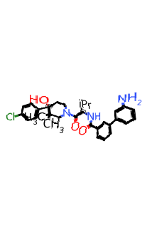 CC(C)[C@@H](NC(=O)c1cccc(-c2cccc(N)c2)c1)C(=O)N1CC[C@](O)(c2ccc(Cl)cc2)C(C)(C)C1